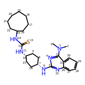 CN(C)c1nc(N[C@H]2CC[C@@H](NC(=S)NC3CCCCCCC3)CC2)nc2ccccc12